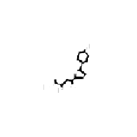 O=C(O)/C(O)=C/C(=O)c1ccc(-c2ccc(O)cc2)s1